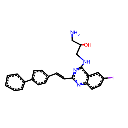 NCC(O)CNc1nc(C=Cc2ccc(-c3ccccc3)cc2)nc2ccc(I)cc12